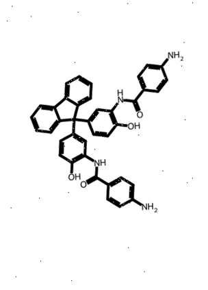 Nc1ccc(C(=O)Nc2cc(C3(c4ccc(O)c(NC(=O)c5ccc(N)cc5)c4)c4ccccc4-c4ccccc43)ccc2O)cc1